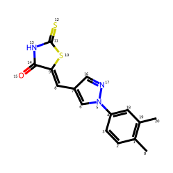 Cc1ccc(-n2cc(/C=C3\SC(=S)NC3=O)cn2)cc1C